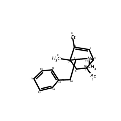 CCC1=CC2C(C(C)=O)CC1(C)C(Cc1ccccc1)N2C